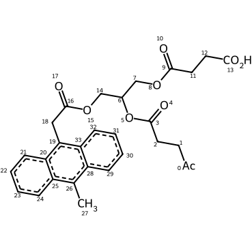 CC(=O)CCC(=O)OC(COC(=O)CCC(=O)O)COC(=O)Cc1c2ccccc2c(C)c2ccccc12